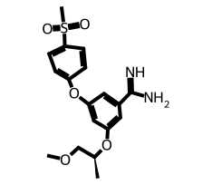 COC[C@H](C)Oc1cc(Oc2ccc(S(C)(=O)=O)cc2)cc(C(=N)N)c1